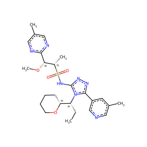 CC[C@H]([C@H]1CCCCO1)n1c(NS(=O)(=O)[C@@H](C)[C@H](OC)c2ncc(C)cn2)nnc1-c1cncc(C)c1